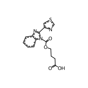 O=C(O)CCCOC(=O)n1c(-c2cscn2)nc2ccccc21